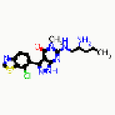 CCC[C@H](N)CNc1nc2[nH]nc(-c3ccc4ncsc4c3Cl)c2c(=O)n1C